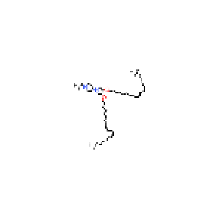 CCCCC/C=C\C/C=C\CCCCCCCCOC1CN(C2CCN(C)CC2)C[C@H]1OCCCCCCCC/C=C\C/C=C\CCCCC